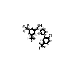 NC(c1cc(C(F)(F)F)cc(C(F)(F)F)c1)[C@@H]1CC[C@@H](c2cc(C(F)(F)F)ccc2Cl)N1